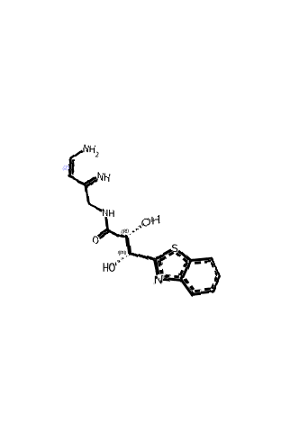 N=C(/C=C\N)CNC(=O)[C@H](O)[C@@H](O)c1nc2ccccc2s1